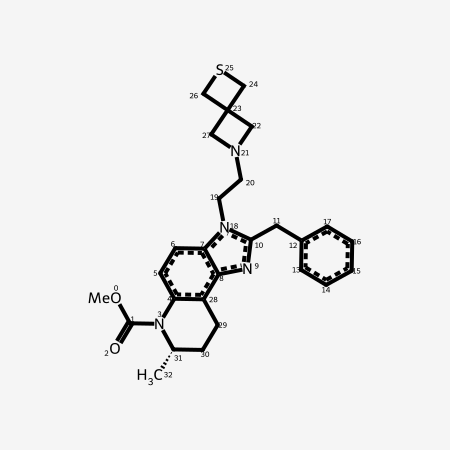 COC(=O)N1c2ccc3c(nc(Cc4ccccc4)n3CCN3CC4(CSC4)C3)c2CC[C@@H]1C